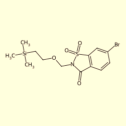 C[Si](C)(C)CCOCN1C(=O)c2ccc(Br)cc2S1(=O)=O